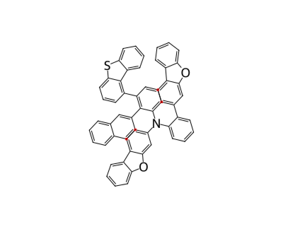 c1ccc(N(c2ccc3c(c2)oc2ccccc23)c2cccc(-c3cccc4sc5ccccc5c34)c2-c2ccc3ccccc3c2)c(-c2ccc3c(c2)oc2ccccc23)c1